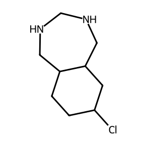 ClC1CCC2CNCNCC2C1